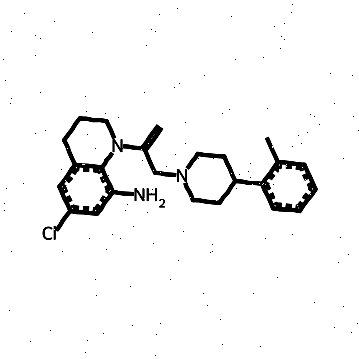 C=C(CN1CCC(c2ccccc2C)CC1)N1CCCc2cc(Cl)cc(N)c21